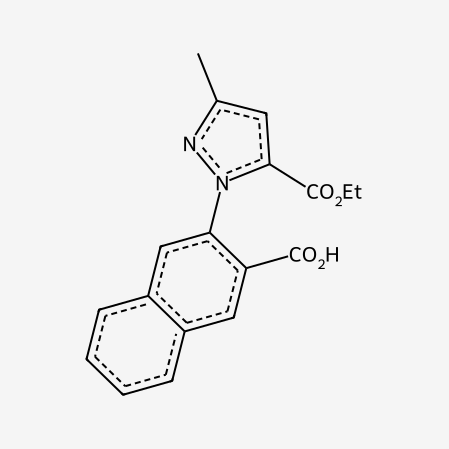 CCOC(=O)c1cc(C)nn1-c1cc2ccccc2cc1C(=O)O